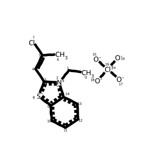 CC[n+]1c(/C=C(\C)Cl)sc2ccccc21.[O-][Cl+3]([O-])([O-])[O-]